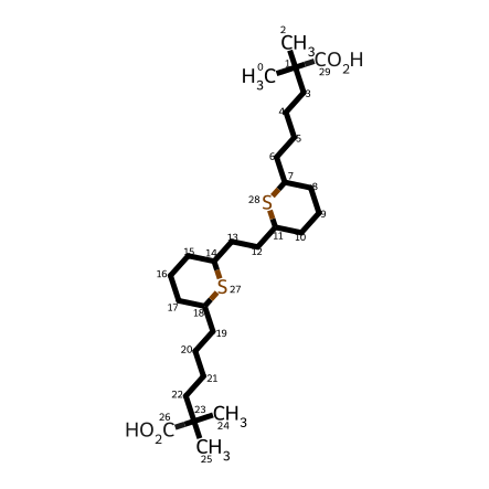 CC(C)(CCCCC1CCCC(CCC2CCCC(CCCCC(C)(C)C(=O)O)S2)S1)C(=O)O